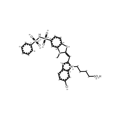 CN1C(=Cc2sc3ccc(Cl)cc3[n+]2CCCCS(=O)(=O)O)Sc2ccc(S(=O)(=O)NS(=O)(=O)c3ccccc3)cc21